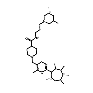 CC1=C(CN2CCC(C(=O)NCCCN3CC(C)C[C@@H](C)C3)CC2)CN=C(C2C(C)C(C)[C@H](C)C(C)C[C@@H]2C)O1